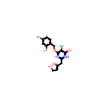 O=c1[nH]c(CC2=CCOO2)nc(OCc2ccc(F)cc2F)c1Br